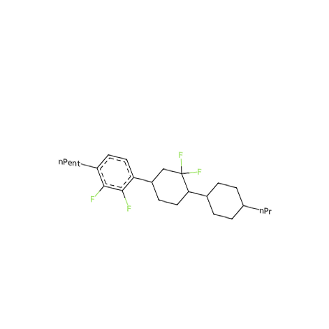 CCCCCc1ccc(C2CCC(C3CCC(CCC)CC3)C(F)(F)C2)c(F)c1F